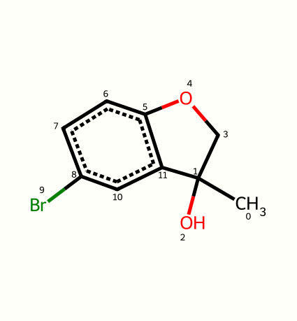 CC1(O)COc2ccc(Br)cc21